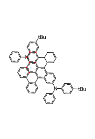 CC(C)(C)c1ccc(N(c2ccccc2)c2ccc3c(-c4ccccc4-c4ccccc4)c4cc(N(c5ccccc5)c5ccc(C(C)(C)C)cc5)ccc4c(C4=CC=CCC4c4ccccc4)c3c2)cc1